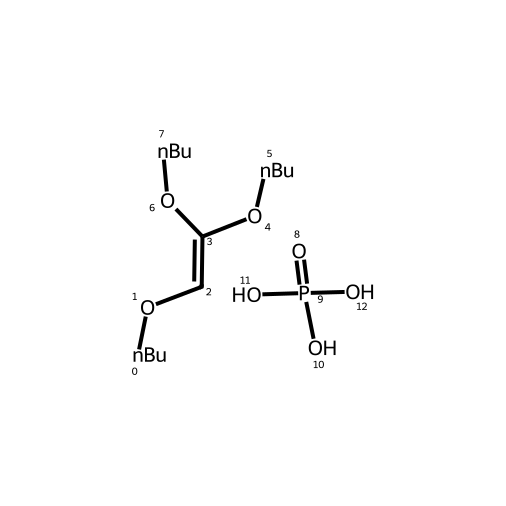 CCCCOC=C(OCCCC)OCCCC.O=P(O)(O)O